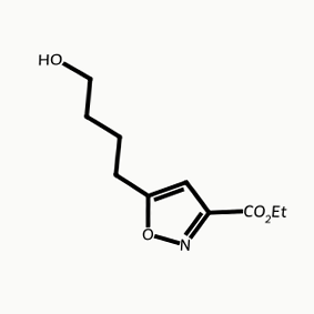 CCOC(=O)c1cc(CCCCO)on1